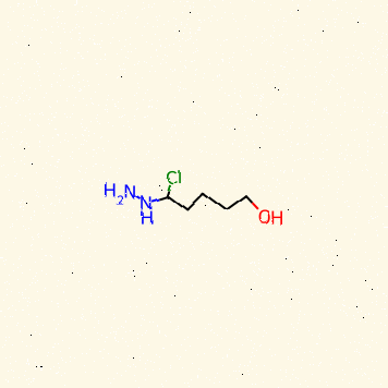 NNC(Cl)CCCCO